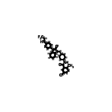 Cc1ncc(Cl)cc1C(=O)N[C@H]1CC[C@H](Cn2c(=O)n(-c3ccc(NCC(F)(F)F)nc3)c3ccccc32)CC1